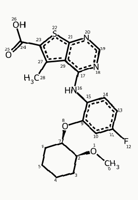 CO[C@H]1CCCC[C@H]1Oc1cc(F)ccc1Nc1ncnc2sc(C(=O)O)c(C)c12